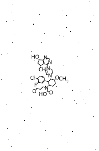 CO[C@H]1CC[C@@H](N(CCC=O)C(=O)O)C(c2ccc(Cl)c(F)c2)[C@@H]1N1CCN(c2ncnc3c2[C@H](C)C[C@H]3O)CC1